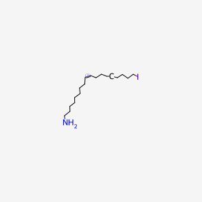 NCCCCCCCC/C=C\CCCCCCCCI